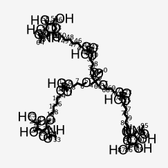 COCC(COCCCOP(=O)(O)OCCCCCCOC1OC(CO)C(O)C(O)C1NC(C)=O)(COCCCOP(=O)(O)OCCCCCCOC1OC(CO)C(O)C(O)C1NC(C)=O)COCCCOP(=O)(O)OCCCCCCOC1OC(CO)C(O)C(O)C1NC(C)=O